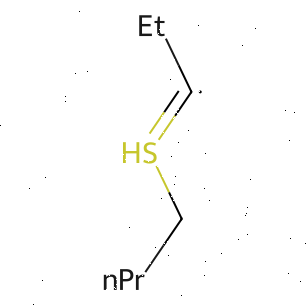 CC[C]=[SH]CCCC